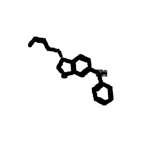 C/C=C\CC[C@H]1COc2cc(Nc3ccccc3)ccc21